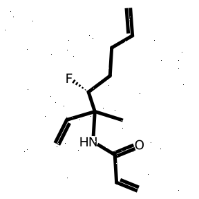 C=CCC[C@@H](F)C(C)(C=C)NC(=O)C=C